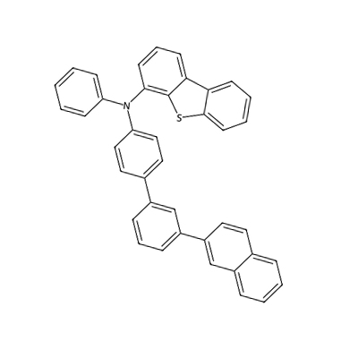 c1ccc(N(c2ccc(-c3cccc(-c4ccc5ccccc5c4)c3)cc2)c2cccc3c2sc2ccccc23)cc1